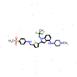 CN1CCC(Nc2cccc3c2cc(-c2ccc(CNc4ccc(S(C)(=O)=O)cc4)s2)n3CC(C)(F)F)CC1